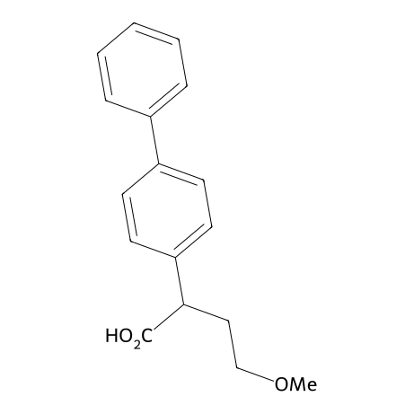 COCCC(C(=O)O)c1ccc(-c2ccccc2)cc1